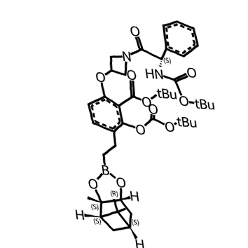 CC(C)(C)OC(=O)N[C@H](C(=O)N1CC(Oc2ccc(CCB3O[C@@H]4C[C@@H]5C[C@@H](C5(C)C)[C@]4(C)O3)c(OC(=O)OC(C)(C)C)c2C(=O)OC(C)(C)C)C1)c1ccccc1